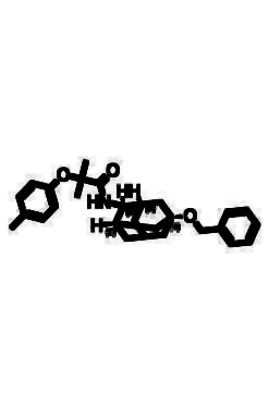 Cc1ccc(OC(C)(C)C(=O)N[C@H]2[C@@H]3CC4C[C@H]2C[C@](OCc2ccccc2)(C4)C3)cc1